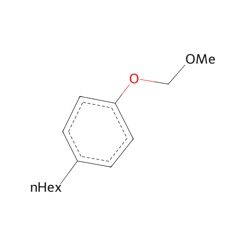 CCCCCCc1ccc(OCOC)cc1